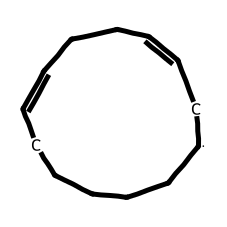 [CH]1C/C=C\CC/C=C\CCCCC1